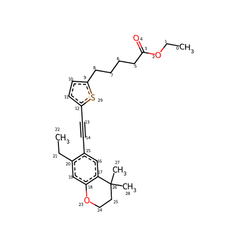 CCOC(=O)CCCCc1ccc(C#Cc2cc3c(cc2CC)OCCC3(C)C)s1